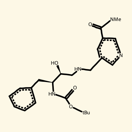 CNC(=O)c1cncc(CNC[C@H](O)[C@H](Cc2ccccc2)NC(=O)OC(C)(C)C)c1